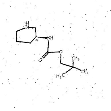 CC(C)(C)COC(=O)N[C@H]1CCCNC1